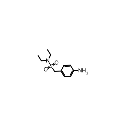 CCN(CC)S(=O)(=O)Cc1ccc(N)cc1